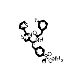 NOS(=O)(=O)c1ccc(C[C@H](NC(=O)Cc2cccc(F)c2)c2csc(-c3cccs3)n2)cc1